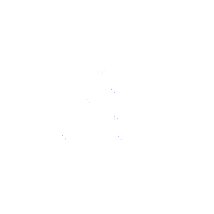 COc1cccc(C(C(c2cccnc2)c2cccnc2)N2CCCC2c2nc3ccccc3[nH]2)n1